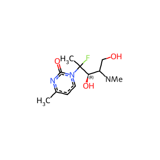 CNC(CO)[C@@H](O)C(C)(F)n1ccc(C)nc1=O